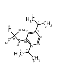 CC(C)c1ccc(C(C)C)c(SC(F)(F)F)c1